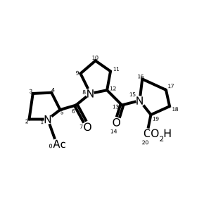 CC(=O)N1CCCC1C(=O)N1CCCC1C(=O)N1CCCC1C(=O)O